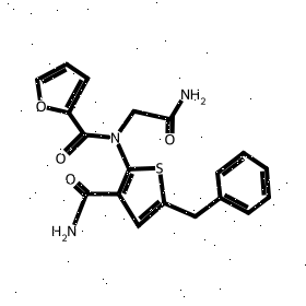 NC(=O)CN(C(=O)c1ccco1)c1sc(Cc2ccccc2)cc1C(N)=O